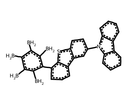 Bc1c(B)c(B)c(-c2cccc3c2sc2ccc(-n4c5ccccc5c5ccccc54)cc23)c(B)c1B